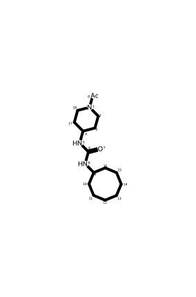 CC(=O)N1CCC(NC(=O)NC2CCCCCCC2)CC1